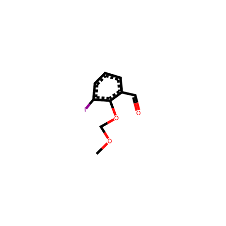 COCOc1c(I)cccc1C=O